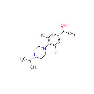 CC(O)c1cc(F)c(N2CCN(C(C)C)CC2)c(F)c1